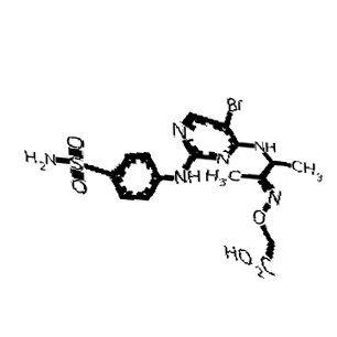 C/C(=N\OCC(=O)O)C(C)Nc1nc(Nc2ccc(S(N)(=O)=O)cc2)ncc1Br